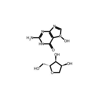 Nc1nc2ncn(O)c2c(=O)[nH]1.OC[C@H]1OC[C@H](O)[C@@H]1O